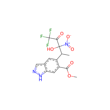 COC(=O)c1cc2[nH]ncc2cc1C(C)C(O)(C(=O)C(F)(F)F)[N+](=O)[O-]